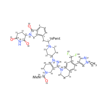 CCCCCC(Cc1cccc2c1CN(C1CCC(=O)NC1=O)C2=O)N1CCC(n2nc(N3CCCc4cc(-c5cnn(C)c5)c(C(F)F)cc43)c3c2CCN(C(=O)NC)C3)CC1